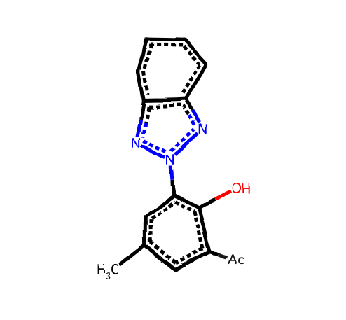 CC(=O)c1cc(C)cc(-n2nc3ccccc3n2)c1O